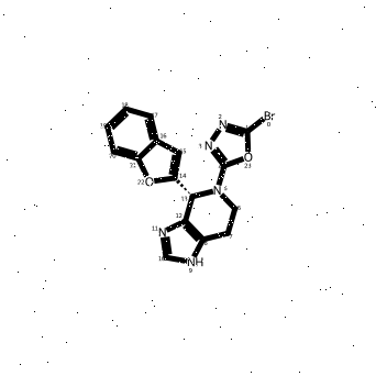 Brc1nnc(N2CCc3[nH]cnc3[C@@H]2c2cc3ccccc3o2)o1